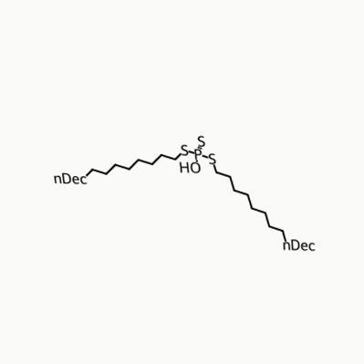 CCCCCCCCCCCCCCCCCCSP(O)(=S)SCCCCCCCCCCCCCCCCCC